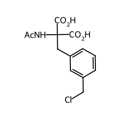 CC(=O)NC(Cc1cccc(CCl)c1)(C(=O)O)C(=O)O